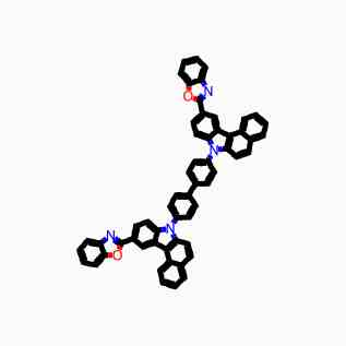 c1ccc2c(c1)ccc1c2c2cc(-c3nc4ccccc4o3)ccc2n1-c1ccc(-c2ccc(-n3c4ccc(-c5nc6ccccc6o5)cc4c4c5ccccc5ccc43)cc2)cc1